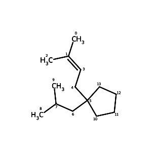 CC(C)=CCC1(CC(C)C)CCCC1